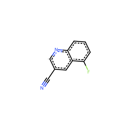 N#Cc1[c]nc2cccc(F)c2c1